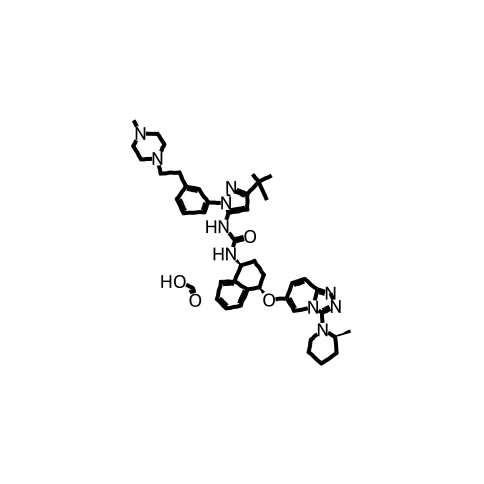 C[C@H]1CCCCN1c1nnc2ccc(O[C@@H]3CC[C@H](NC(=O)Nc4cc(C(C)(C)C)nn4-c4cccc(CCN5CCN(C)CC5)c4)c4ccccc43)cn12.O=CO